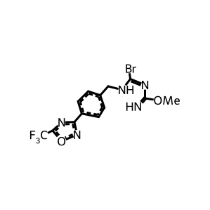 COC(=N)/N=C(/Br)NCc1ccc(-c2noc(C(F)(F)F)n2)cc1